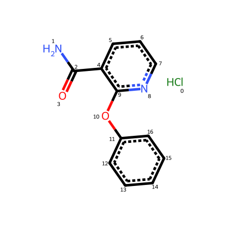 Cl.NC(=O)c1cccnc1Oc1ccccc1